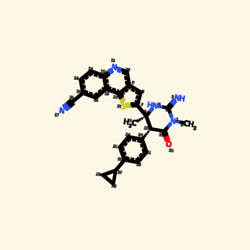 CN1C(=N)N[C@](C)(c2cc3cnc4ccc(C#N)cc4c3s2)[C@@H](c2ccc(C3CC3)cc2)C1=O